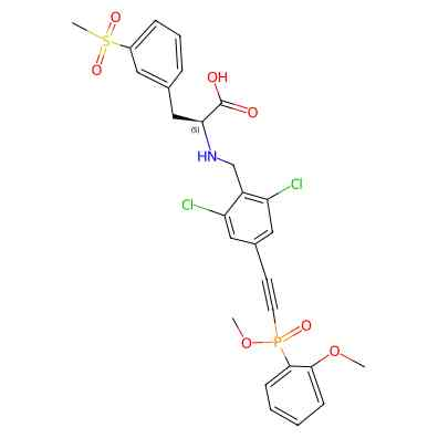 COc1ccccc1P(=O)(C#Cc1cc(Cl)c(CN[C@@H](Cc2cccc(S(C)(=O)=O)c2)C(=O)O)c(Cl)c1)OC